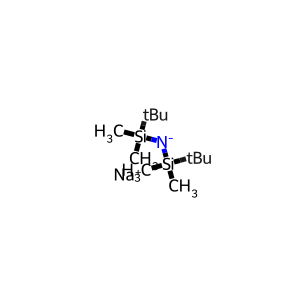 CC(C)(C)[Si](C)(C)[N-][Si](C)(C)C(C)(C)C.[Na+]